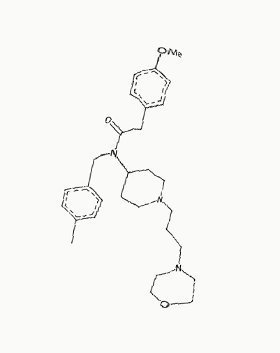 COc1ccc(CC(=O)N(Cc2ccc(C)cc2)C2CCN(CCCN3CCOCC3)CC2)cc1